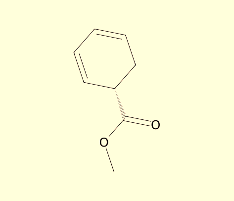 COC(=O)[C@@H]1C=CC=CC1